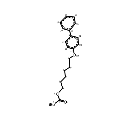 CCC(C)C(=O)OCCCCCCOc1ccc(-c2ccccc2)cc1